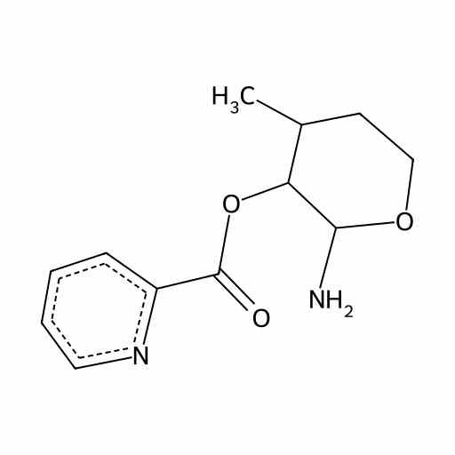 CC1CCOC(N)C1OC(=O)c1ccccn1